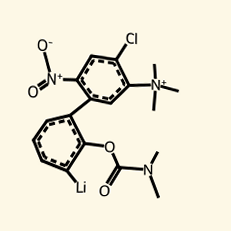 [Li][c]1cccc(-c2cc([N+](C)(C)C)c(Cl)cc2[N+](=O)[O-])c1OC(=O)N(C)C